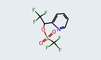 O=S(=O)(OC(c1ccccn1)C(F)(F)F)C(F)(F)F